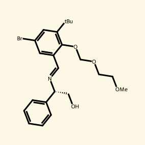 COCCOCOc1c(/C=N/[C@H](CO)c2ccccc2)cc(Br)cc1C(C)(C)C